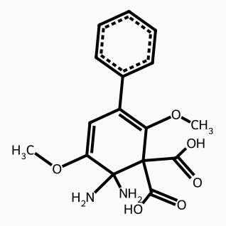 COC1=CC(c2ccccc2)=C(OC)C(C(=O)O)(C(=O)O)C1(N)N